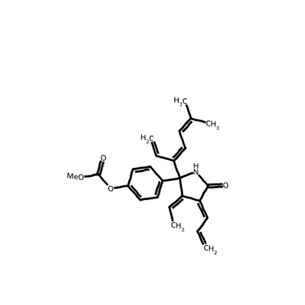 C=C/C=C1/C(=O)NC(/C(C=C)=C/C=C(C)C)(c2ccc(OC(=O)OC)cc2)/C1=C/C